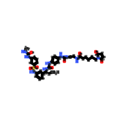 CCCNC(=O)Nc1cccc(S(=O)(=O)Nc2cccc([C@@H](CC(=O)O)NC(=O)Nc3ccc(NC(=O)NCCNC(=O)CCCCCN4C(=O)C=CC4=O)cc3)c2)c1